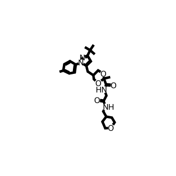 Cc1ccc(-n2nc(C(C)(C)C)cc2CC2COC(C)(C(=O)NCC(=O)NCC3CCOCC3)OC2)cc1